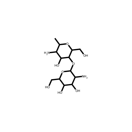 CC1OC(CO)C(OC2OC(CO)C(O)C(O)C2N)C(O)C1N